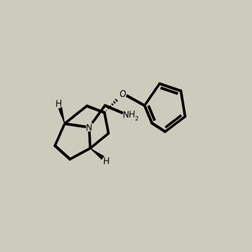 NCN1[C@@H]2CC[C@H]1C[C@@H](Oc1ccccc1)C2